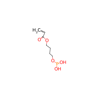 C=CC(=O)OCCCCOP(O)O